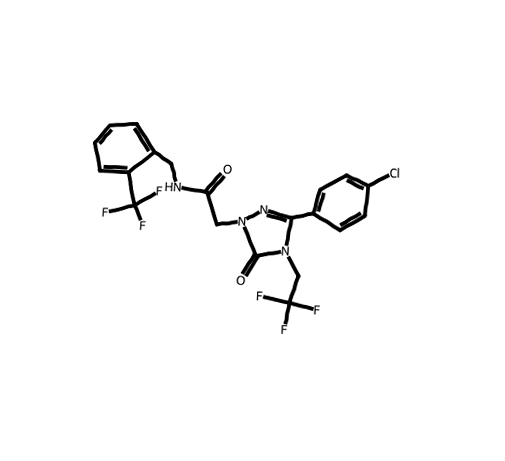 O=C(Cn1nc(-c2ccc(Cl)cc2)n(CC(F)(F)F)c1=O)NCc1ccccc1C(F)(F)F